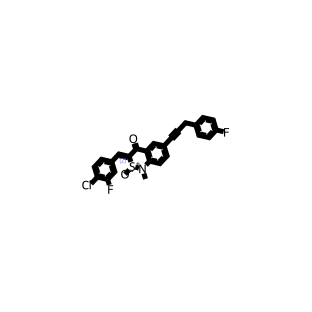 CN1c2ccc(C#CCc3ccc(F)cc3)cc2C(=O)/C(=C/c2ccc(Cl)c(F)c2)[S+]1[O-]